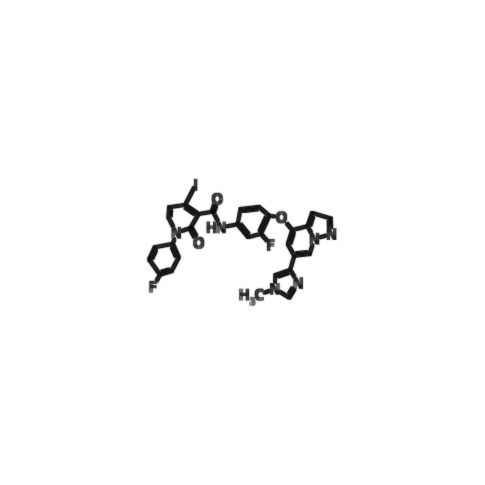 Cn1cnc(-c2cc(Oc3ccc(NC(=O)c4c(I)ccn(-c5ccc(F)cc5)c4=O)cc3F)c3ccnn3c2)c1